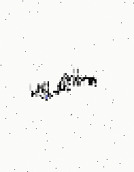 C/N=C(/NCCc1ccn(CN(C)C(=N)NC(=N)NCCc2ccoc2)c1)NC(=N)N